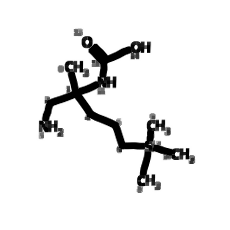 CC(CN)(CCC[Si](C)(C)C)NC(=O)O